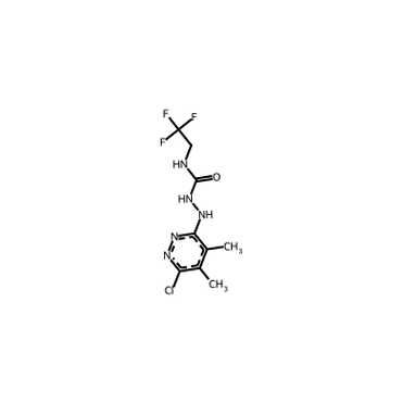 Cc1c(Cl)nnc(NNC(=O)NCC(F)(F)F)c1C